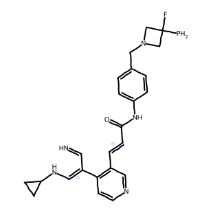 N=C/C(=C\NC1CC1)c1ccncc1/C=C/C(=O)Nc1ccc(CN2CC(F)(P)C2)cc1